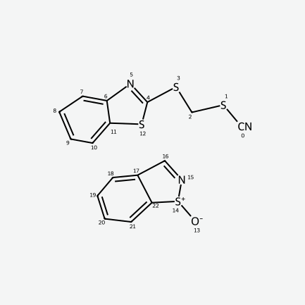 N#CSCSc1nc2ccccc2s1.[O-][s+]1ncc2ccccc21